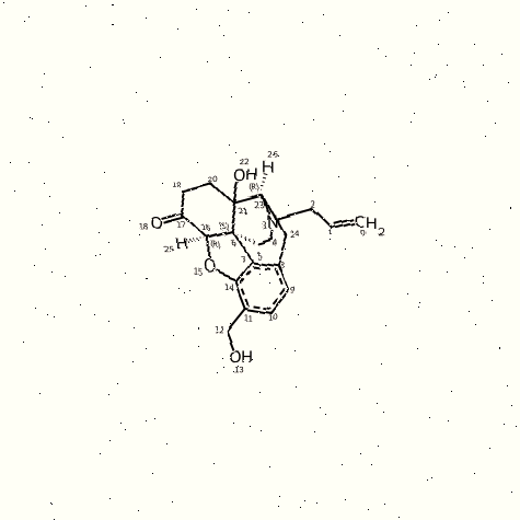 C=CCN1CC[C@]23c4c5ccc(CO)c4O[C@H]2C(=O)CCC3(O)[C@H]1C5